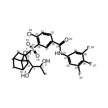 CC(O)C(O)CC1(O)C2CC1CC(S(=O)(=O)c1cc(C(=O)Nc3cc(F)c(F)c(F)c3)ccc1Cl)C2